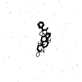 CC(C(=O)c1ccccc1)[C@H]1CC[C@H]2[C@@H]3CCC4N(C)C(=O)CC[C@]4(C)[C@H]3CC[C@]12C